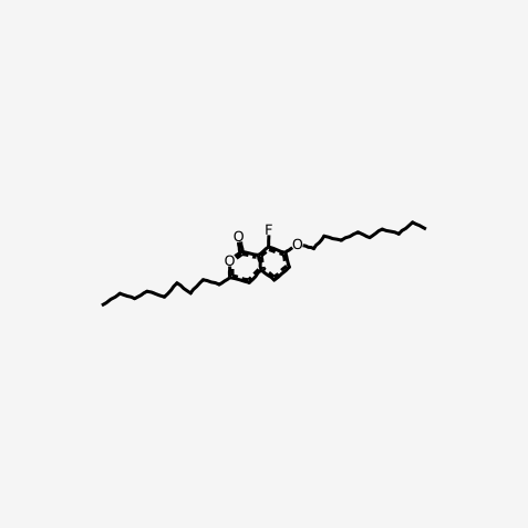 CCCCCCCCCOc1ccc2cc(CCCCCCCCC)oc(=O)c2c1F